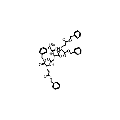 CC(C)(C)OC(=O)N[C@@H](CC(=O)N[C@H](CCC(=O)OCc1ccccc1)C(=O)OCc1ccccc1)C(=O)N[C@H](CCC(=O)OCc1ccccc1)C(=O)OCc1ccccc1